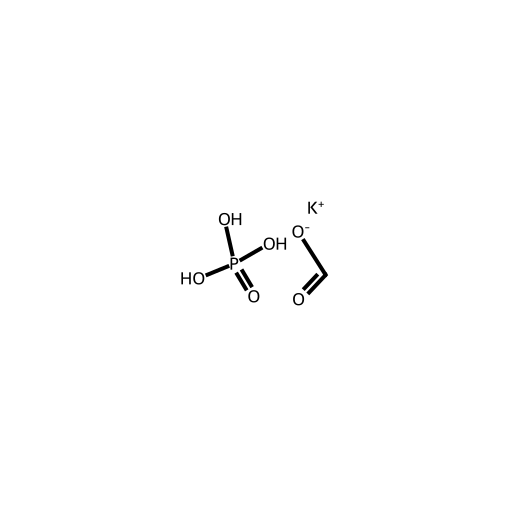 O=C[O-].O=P(O)(O)O.[K+]